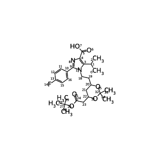 CC(C)c1c(C(=O)O)nc(-c2ccc(F)cc2)n1CCC1CC(CC(=O)OC(C)(C)C)OC(C)(C)O1